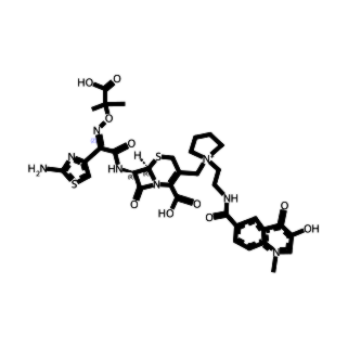 Cn1cc(O)c(=O)c2cc(C(=O)NCC[N+]3(CC4=C(C(=O)O)N5C(=O)[C@@H](NC(=O)/C(=N\OC(C)(C)C(=O)O)c6csc(N)n6)[C@H]5SC4)CCCC3)ccc21